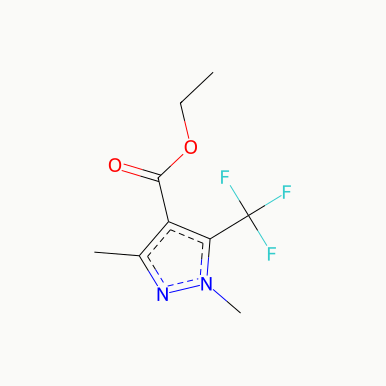 CCOC(=O)c1c(C)nn(C)c1C(F)(F)F